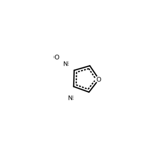 [N].[N].[O].c1ccoc1